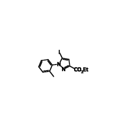 CCOC(=O)c1cc(I)n(-c2ccccc2C)n1